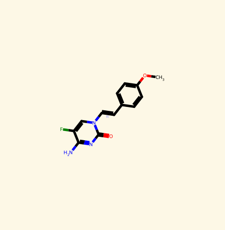 COc1ccc(/C=C/n2cc(F)c(N)nc2=O)cc1